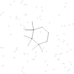 CC1(C)CCCC(C)(C)C1(C)C